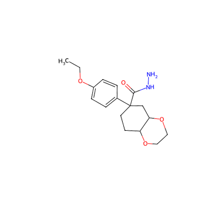 CCOc1ccc(C2(C(=O)NN)CCC3OCCOC3C2)cc1